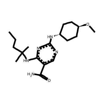 CCCC(C)(C)Nc1nc(N[C@H]2CC[C@H](OC)CC2)ncc1C(N)=O